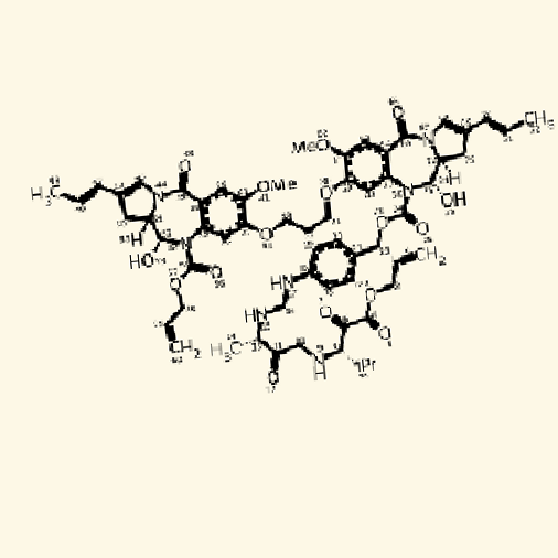 C=CCOC(=O)C(=O)[C@@H](NCC(=O)[C@H](C)NCNc1ccc(COC(=O)N2c3cc(OCCCOc4cc5c(cc4OC)C(=O)N4C=C(/C=C/C)C[C@H]4[C@H](O)N5C(=O)OCC=C)c(OC)cc3C(=O)N3C=C(/C=C/C)C[C@H]3[C@@H]2O)cc1)C(C)C